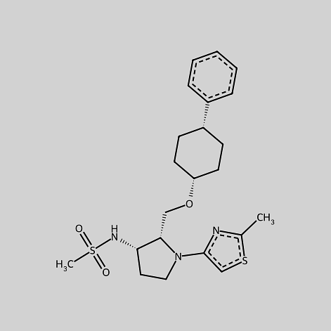 Cc1nc(N2CC[C@H](NS(C)(=O)=O)[C@@H]2CO[C@H]2CC[C@@H](c3ccccc3)CC2)cs1